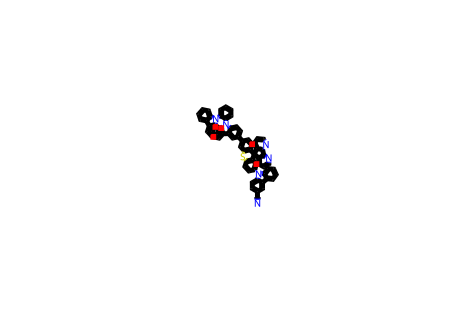 N#Cc1ccc2c(c1)c1ccccc1n2-c1ccc2c(c1)C1(c3ccc(-c4ccc5c(c4)c4ccccc4n5-c4ccccc4-n4c5ccccc5c5ccccc54)cc3S2)c2cccnc2-c2ncccc21